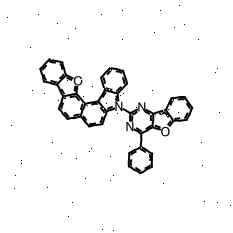 c1ccc(-c2nc(-n3c4ccccc4c4c5c(ccc6c7ccccc7oc65)ccc43)nc3c2oc2ccccc23)cc1